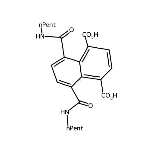 CCCCCNC(=O)c1ccc(C(=O)NCCCCC)c2c(C(=O)O)ccc(C(=O)O)c12